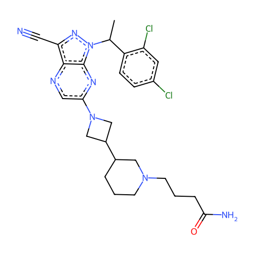 CC(c1ccc(Cl)cc1Cl)n1nc(C#N)c2ncc(N3CC(C4CCCN(CCCC(N)=O)C4)C3)nc21